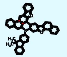 CC1(C)c2ccccc2-c2ccc(N(c3ccc4ccccc4c3)c3cc4oc5c6ccccc6ccc5c4cc3-c3cccc4c3oc3ccccc34)cc21